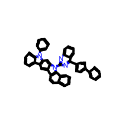 c1ccc(-c2ccc(-c3nc(-n4c5cc6c(cc5c5ccc7ccccc7c54)c4ccccc4n6-c4ccccc4)nc4ccccc34)cc2)cc1